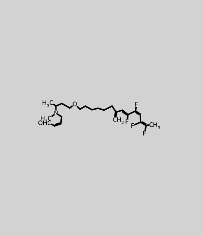 C=C(/C=C(F)/C(F)=C\C(F)=C(/C)F)CCCCCCOCCC(C)N(C)C/C=C\C=O